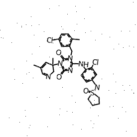 CC1=CC(C)(n2c(=O)nc(Nc3ccc(N=S4(=O)CCCC4)cc3Cl)n(Cc3cc(Cl)ccc3C)c2=O)CN=C1